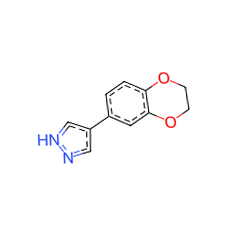 c1cc2c(cc1-c1cn[nH]c1)OCCO2